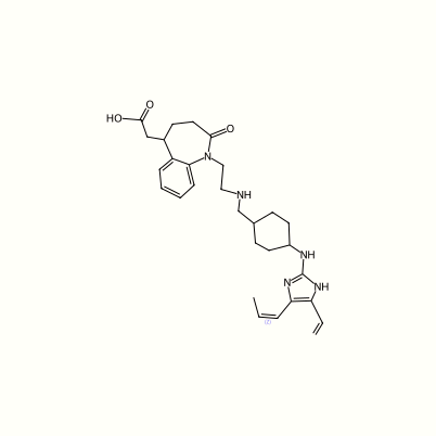 C=Cc1[nH]c(NC2CCC(CNCCN3C(=O)CCC(CC(=O)O)c4ccccc43)CC2)nc1/C=C\C